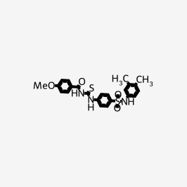 COc1ccc(C(=O)NC(=S)Nc2ccc(S(=O)(=O)Nc3ccc(C)c(C)c3)cc2)cc1